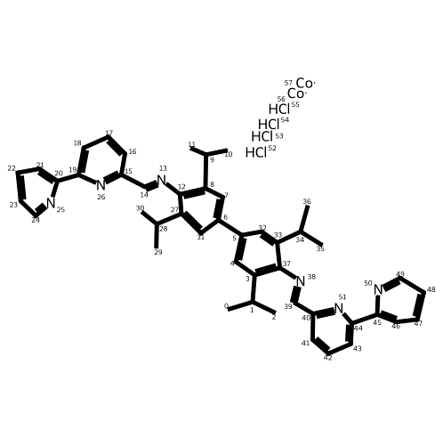 CC(C)c1cc(-c2cc(C(C)C)c(N=Cc3cccc(-c4ccccn4)n3)c(C(C)C)c2)cc(C(C)C)c1N=Cc1cccc(-c2ccccn2)n1.Cl.Cl.Cl.Cl.[Co].[Co]